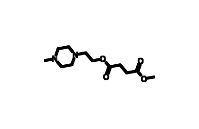 COC(=O)CCC(=O)OCCN1CCN(C)CC1